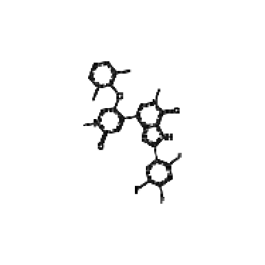 Cc1cccc(C)c1Oc1cn(C)c(=O)cc1-c1cn(C)c(=O)c2[nH]c(-c3cc(F)c(F)cc3F)cc12